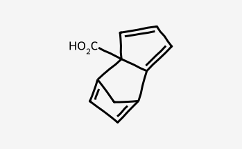 O=C(O)C12C=CC=C1C1=CC=C2C1